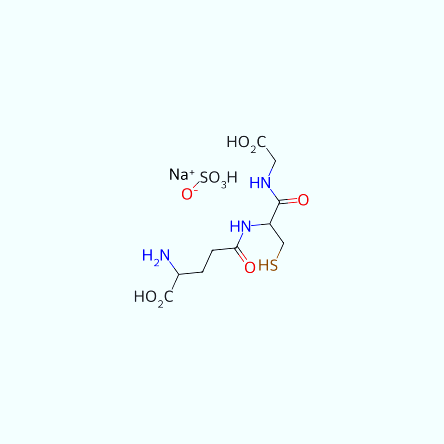 NC(CCC(=O)NC(CS)C(=O)NCC(=O)O)C(=O)O.O=S(=O)([O-])O.[Na+]